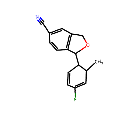 CC1C=C(F)C=CC1C1OCc2cc(C#N)ccc21